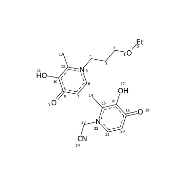 CCOCCCn1ccc(=O)c(O)c1C.Cc1c(O)c(=O)ccn1CC#N